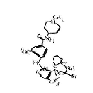 COc1cc(C(=O)NC2CCN(C)CC2)ccc1Nc1ncc(C(F)(F)F)c(N[C@@H]2CCCC[C@H]2NC(=O)C(C)C)n1